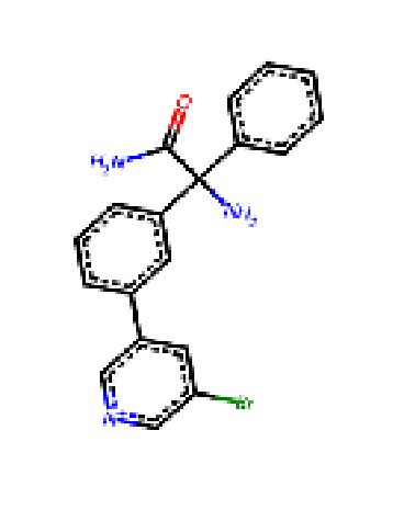 NC(=O)C(N)(c1ccccc1)c1cccc(-c2cncc(Br)c2)c1